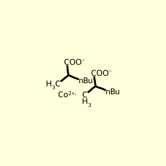 CCCCC(C)C(=O)[O-].CCCCC(C)C(=O)[O-].[Co+2]